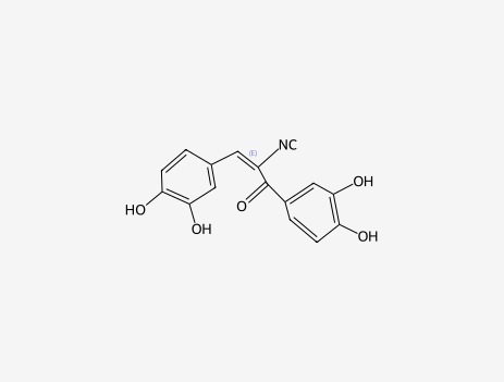 [C-]#[N+]/C(=C/c1ccc(O)c(O)c1)C(=O)c1ccc(O)c(O)c1